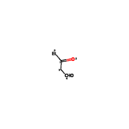 CCC(=O)CC=O